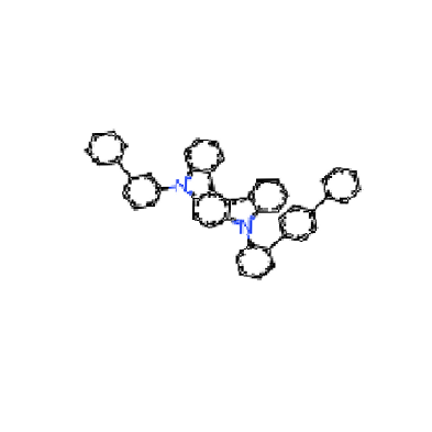 c1ccc(-c2ccc(-c3ccccc3-n3c4ccccc4c4c5c6ccccc6n(-c6cccc(-c7ccccc7)c6)c5ccc43)cc2)cc1